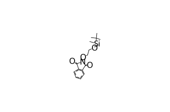 CC(C)(C)[Si](C)(C)OCCON1C(=O)c2ccccc2C1=O